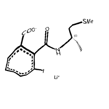 CSC[C@H](C)NC(=O)c1c(I)cccc1C(=O)[O-].[Li+]